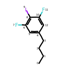 CCCCc1cc(F)c(I)c(F)c1